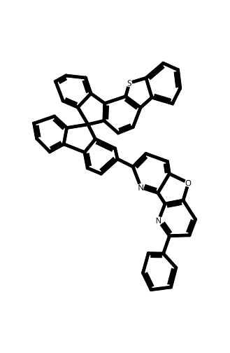 c1ccc(-c2ccc3oc4ccc(-c5ccc6c(c5)C5(c7ccccc7-6)c6ccccc6-c6c5ccc5c6sc6ccccc65)nc4c3n2)cc1